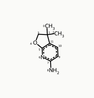 CC1(C)COc2nc(N)ccc21